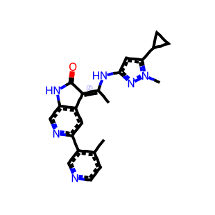 C/C(Nc1cc(C2CC2)n(C)n1)=C1/C(=O)Nc2cnc(-c3cnccc3C)cc21